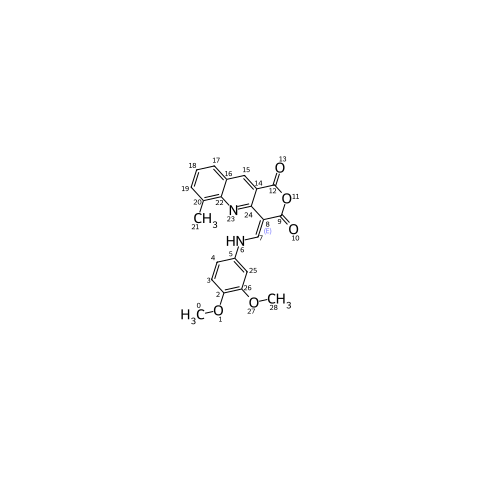 COc1ccc(N/C=C2/C(=O)OC(=O)c3cc4cccc(C)c4nc32)cc1OC